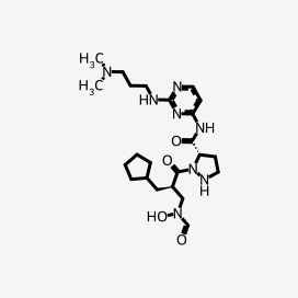 CN(C)CCCNc1nccc(NC(=O)[C@@H]2CCNN2C(=O)[C@H](CC2CCCC2)CN(O)C=O)n1